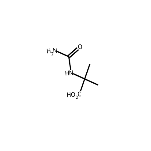 CC(C)(NC(N)=O)C(=O)O